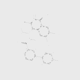 CN(C(=O)c1cccc(-c2ccc(F)cc2)c1)[C@@H]1COCc2[nH]c(=O)c3cc(F)c(F)cc3c21